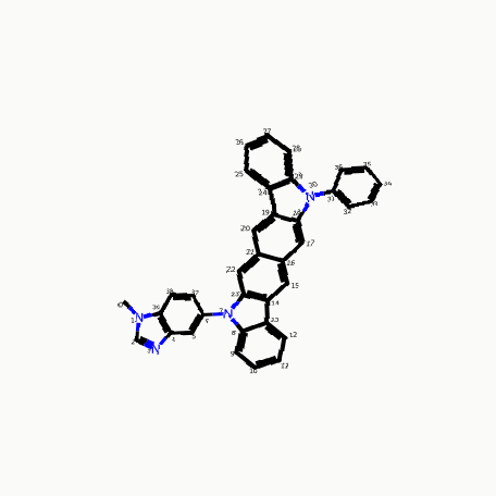 Cn1cnc2cc(-n3c4ccccc4c4cc5cc6c(cc5cc43)c3ccccc3n6-c3ccccc3)ccc21